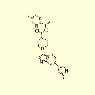 Cc1ccc([C@@H](C)OC(=O)N2CCN(c3cnc4cc(-c5cnn(C)c5)cnn34)CC2)nc1